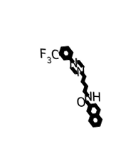 O=C(NCCCCN1CCN(c2cccc(C(F)(F)F)c2)CC1)C1=Cc2ccccc2CC1